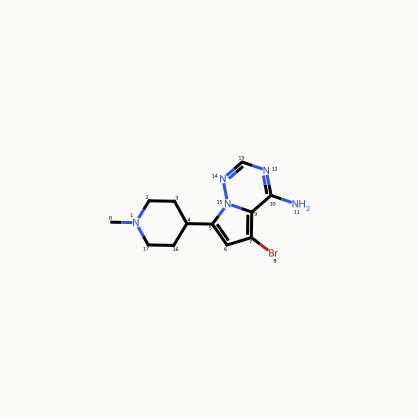 CN1CCC(c2cc(Br)c3c(N)ncnn23)CC1